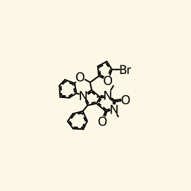 Cn1c(=O)c2c(-c3ccccc3)n3c(c2n(C)c1=O)C(c1ccc(Br)o1)Oc1ccccc1-3